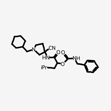 CC(C)CC(OC(=O)NCc1ccccc1)C(=O)NC1(C#N)CCN(CC2CCCCC2)C1